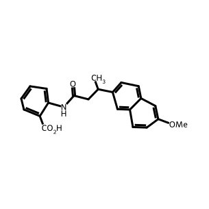 COc1ccc2cc(C(C)CC(=O)Nc3ccccc3C(=O)O)ccc2c1